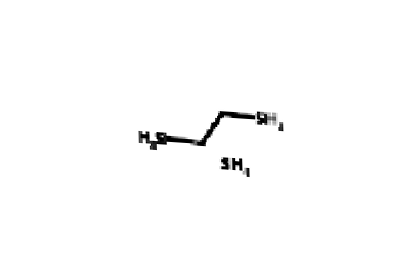 [SiH3]CC[SiH3].[SiH4]